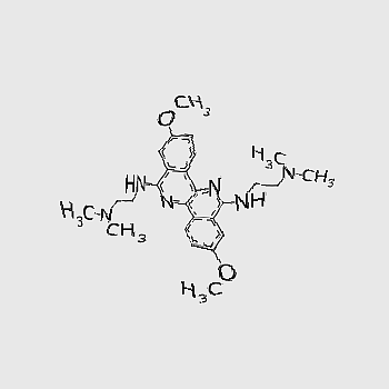 COc1ccc2c(c1)c(NCCN(C)C)nc1c3ccc(OC)cc3c(NCCN(C)C)nc21